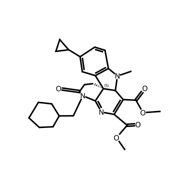 COC(=O)C1=C(C(=O)OC)C2N(C)c3ccc(C4CC4)cc3[C@@]23CCC(=O)N(CC2CCCCC2)C3=N1